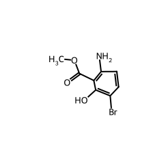 COC(=O)c1c(N)ccc(Br)c1O